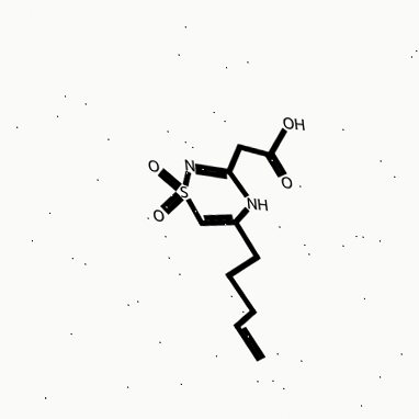 C=CCCCC1=CS(=O)(=O)N=C(CC(=O)O)N1